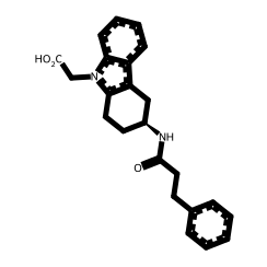 O=C(O)Cn1c2c(c3ccccc31)C[C@@H](NC(=O)CCc1ccccc1)CC2